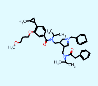 COCCCOc1cc(C(=O)N(CC2CN(Cc3ccccc3)CC2CN(C(=O)Cc2ccccc2)C(C)C)C(C)C)ccc1C1CC1C